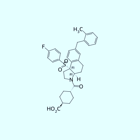 Cc1ccccc1Cc1ccc2c(c1)CC[C@H]1N(C(=O)[C@H]3CC[C@H](C(=O)O)CC3)CC[C@@]21S(=O)(=O)c1ccc(F)cc1